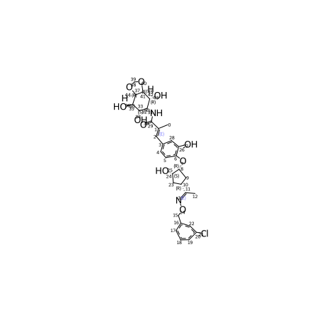 C/C(=C\c1ccc(O[C@@H]2C[C@H](/C(C)=N/OCc3cccc(Cl)c3)C[C@@H]2O)c(O)c1)C(=O)N[C@@H]1[C@H](O)[C@@H](O)[C@H]2OCO[C@H]2[C@@H]1O